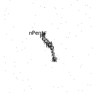 CCCCC[C@@H](F)[C@H](F)COc1ccc(-c2ncc(OCCCCCCC[Si](C)(C)C)cn2)cc1